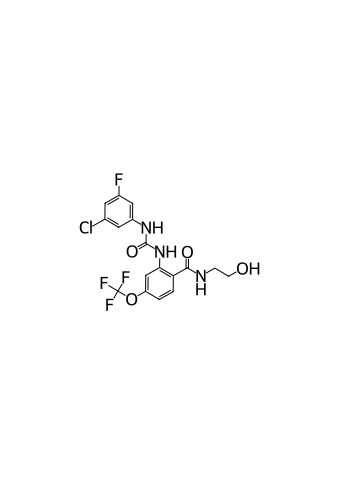 O=C(Nc1cc(F)cc(Cl)c1)Nc1cc(OC(F)(F)F)ccc1C(=O)NCCO